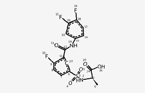 C[C@@H](NS(=O)(=O)c1ccc(F)c(C(=O)Nc2ccc(F)c(F)c2)c1)C(=O)O